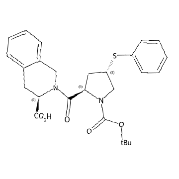 CC(C)(C)OC(=O)N1C[C@@H](Sc2ccccc2)C[C@@H]1C(=O)N1Cc2ccccc2C[C@@H]1C(=O)O